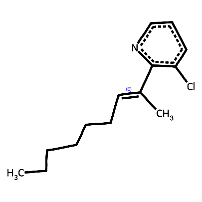 CCCCCC/C=C(\C)c1ncccc1Cl